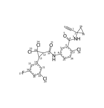 C#CC1(NC(=O)c2cc(NC(=O)C3C(c4cc(F)cc(Cl)c4)C3(Cl)Cl)ccc2Cl)CC1